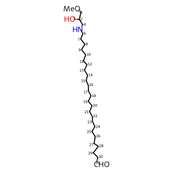 COCC(O)CNCCCCCCCCCCCCCCCCCCCCCCCCCC=O